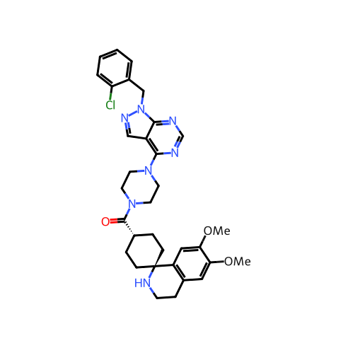 COc1cc2c(cc1OC)[C@]1(CC[C@@H](C(=O)N3CCN(c4ncnc5c4cnn5Cc4ccccc4Cl)CC3)CC1)NCC2